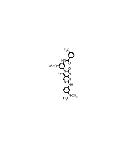 CCc1c2cnc(Nc3cccc(N(C)C)c3)nc2nc(=O)n1-c1cc(NC(=O)c2cccc(C(F)(F)F)c2)cc(OC)c1